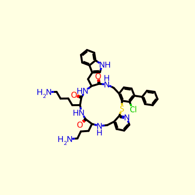 NCCCCC1NC(=O)C(CCCN)NCc2cccnc2Sc2c(ccc(-c3ccccc3)c2Cl)CNC(=O)C(Cc2c[nH]c3ccccc23)NC1=O